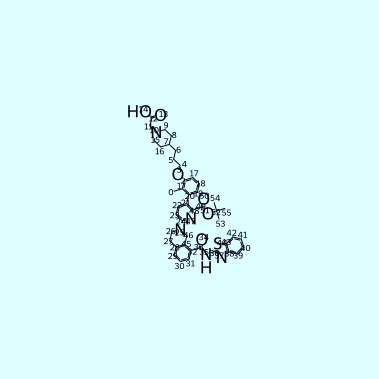 Cc1c(OCCCC2CCN(CC(=O)O)CC2)cccc1-c1ccc(N2CCc3cccc(C(=O)Nc4nc5ccccc5s4)c3C2)nc1C(=O)OC(C)(C)C